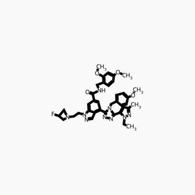 CCn1nc(C)cc1-c1nnc(-c2cc(C(=O)NCc3ccc(OC)cc3OC)cc3c2cnn3CCN2CC(F)C2)n1Cc1ccc(OC)cc1